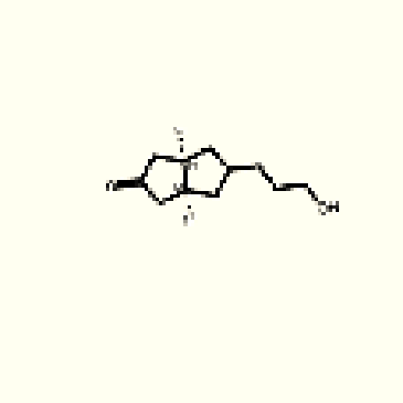 O=C1C[C@@H]2CC(CCCO)C[C@@H]2C1